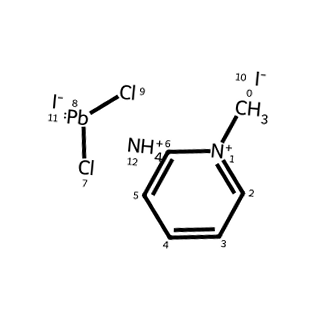 C[n+]1ccccc1.[Cl][Pb][Cl].[I-].[I-].[NH4+]